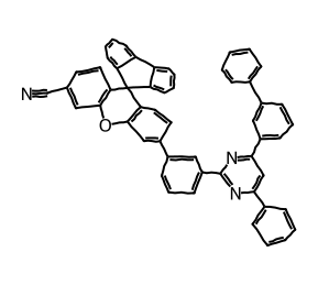 N#Cc1ccc2c(c1)Oc1cc(-c3cccc(-c4nc(-c5ccccc5)cc(-c5cccc(-c6ccccc6)c5)n4)c3)ccc1C21c2ccccc2-c2ccccc21